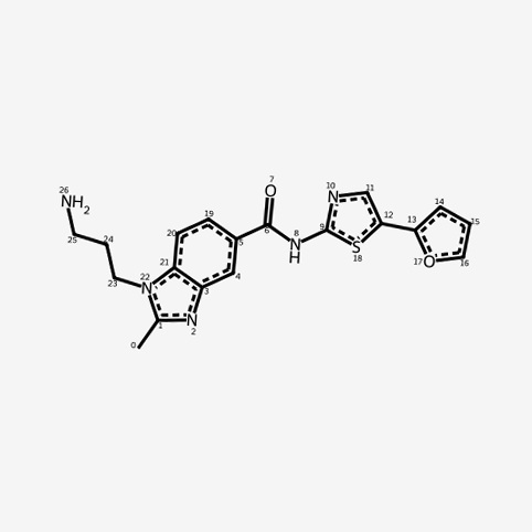 Cc1nc2cc(C(=O)Nc3ncc(-c4ccco4)s3)ccc2n1CCCN